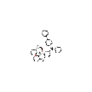 c1ccc(-c2ccc(N(c3ccccc3)c3ccc4c(c3)[Si]3(c5ccccc5Oc5ccccc53)c3ccccc3S4)cc2)cc1